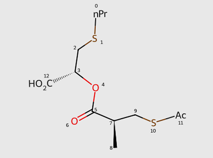 CCCSC[C@H](OC(=O)[C@H](C)CSC(C)=O)C(=O)O